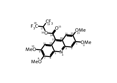 COc1cc2nc3cc(OC)c(OC)cc3c(C(=O)OC(C(F)(F)F)C(F)(F)F)c2cc1OC